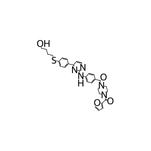 O=C(c1ccc(Nc2nccc(-c3ccc(SCCCCO)cc3)n2)cc1)N1CCN(C(=O)c2ccco2)CC1